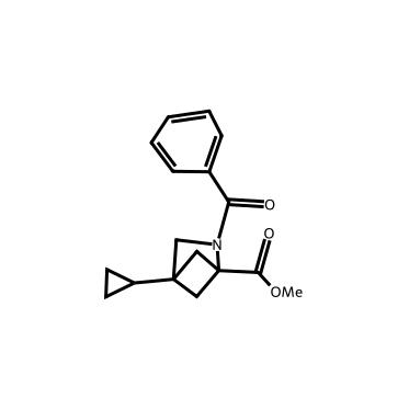 COC(=O)C12CC(C3CC3)(CN1C(=O)c1ccccc1)C2